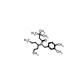 CCCC(CCC)N(Cc1ccc(C)c(C)c1)C(=O)CC(C)(C)C